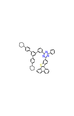 c1ccc(-c2nc(-c3cccc(-c4cc(-c5ccc(C6CCCCC6)cc5)cc(-c5ccc(C6CCCCC6)cc5)c4)c3)nc(-c3ccc4c(c3)sc3c5ccccc5c5ccccc5c43)n2)cc1